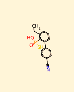 CCc1cccc(-c2ccc(C#N)cc2)c1P(=O)(O)S